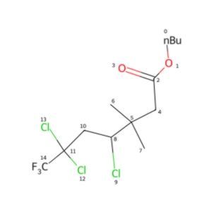 CCCCOC(=O)CC(C)(C)C(Cl)CC(Cl)(Cl)C(F)(F)F